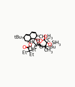 CCC(CC)(CC)C(=O)O[C@H]1C[C@H](C(C)(C)C)C=C2C=C[C@H](C)[C@](CC[C@@H]3C[C@](C)(C(C)(C)C)C(C)(O[SiH3])C(=O)O3)(O[SiH](C)C)[C@H]21